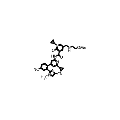 COCCNCc1cc(C(=O)Nc2cc(-c3ccc(C#N)cc3-c3nc(C#N)cn3C)cc(C3CC3)n2)c(=O)n(C2CC2)c1